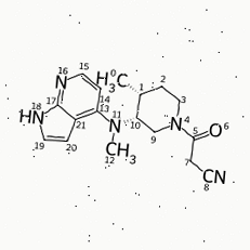 C[C@@H]1CCN(C(=O)CC#N)C[C@@H]1N(C)c1ccnc2[nH]ccc12